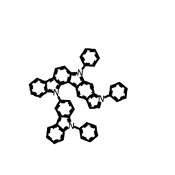 c1ccc(-n2ccc3cc4c5c(ccc6c7ccccc7n(-c7ccc8c(c7)c7ccccc7n8-c7ccccc7)c65)n(-c5ccccc5)c4cc32)cc1